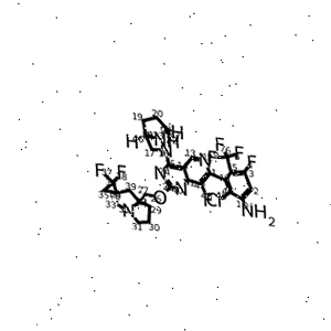 Nc1cc(F)c(C(F)(F)F)c(-c2ncc3c(N4C[C@H]5CC[C@@H](C4)N5)nc(OC[C@@]45CCCN4C[C@@]4(CC4(F)F)C5)nc3c2F)c1Cl